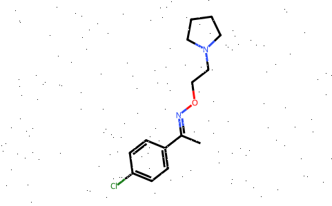 CC(=NOCCN1CCCC1)c1ccc(Cl)cc1